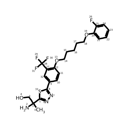 CC(N)(CO)c1nnc(-c2ccc(OCCCCCOc3ccccc3F)c(C(F)(F)F)c2)s1